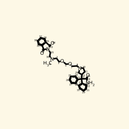 CN(CCOCOCCN1CCC(C(C(N)=O)(c2ccccc2)c2ccccc2)C1)CCN1C(=O)c2ccccc2C1=O